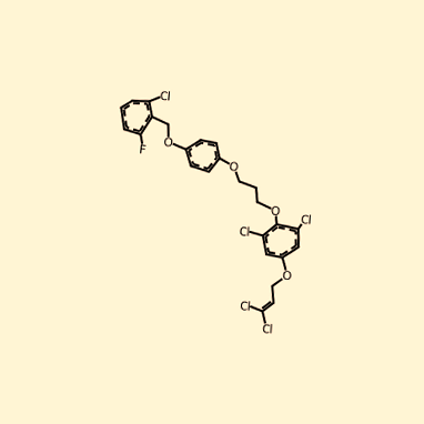 Fc1cccc(Cl)c1COc1ccc(OCCCOc2c(Cl)cc(OCC=C(Cl)Cl)cc2Cl)cc1